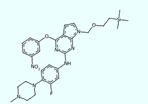 CN1CCN(c2ccc(Nc3nc(Oc4cccc([N+](=O)[O-])c4)c4ccn(COCC[Si](C)(C)C)c4n3)cc2F)CC1